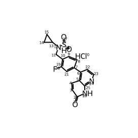 Cl.O=c1ccc2c(-c3ccc(CN(C4CC4)[SH](=O)=O)c(F)c3)ccnc2[nH]1